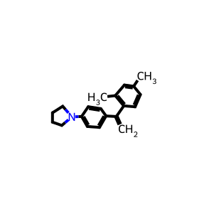 C=C(c1ccc(N2CCCC2)cc1)c1ccc(C)cc1C